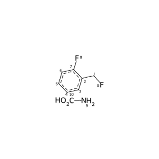 FCc1ccccc1F.NC(=O)O